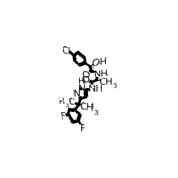 C[C@H](NC(=O)[C@@H](O)c1ccc(Cl)cc1)C(=O)Nc1cc(C(C)(C)c2cc(F)cc(F)c2)n[nH]1